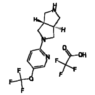 FC(F)(F)Oc1ccc(N2C[C@@H]3CNC[C@H]3C2)nc1.O=C(O)C(F)(F)F